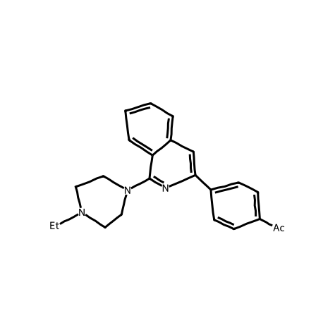 CCN1CCN(c2nc(-c3ccc(C(C)=O)cc3)cc3ccccc23)CC1